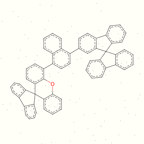 c1ccc2c(c1)Oc1c(-c3ccc(-c4ccc5c(c4)C4(c6ccccc6-c6ccccc64)c4ccccc4-5)c4ccccc34)cccc1C21c2ccccc2-c2ccccc21